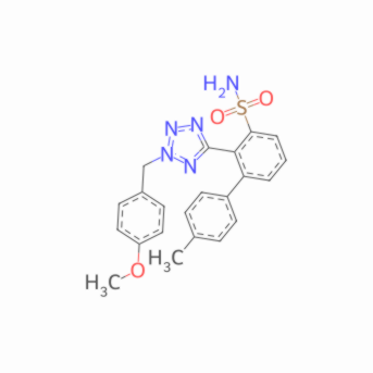 COc1ccc(Cn2nnc(-c3c(-c4ccc(C)cc4)cccc3S(N)(=O)=O)n2)cc1